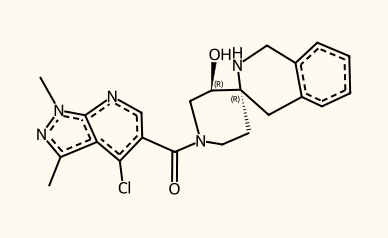 Cc1nn(C)c2ncc(C(=O)N3CC[C@]4(Cc5ccccc5CN4)[C@H](O)C3)c(Cl)c12